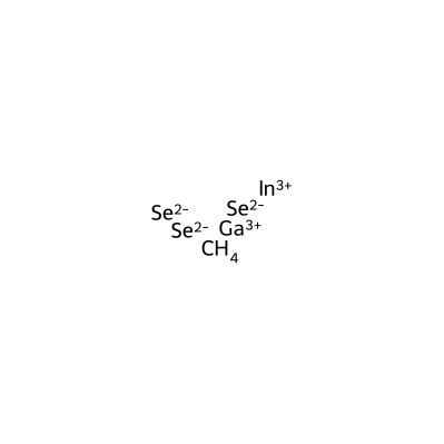 C.[Ga+3].[In+3].[Se-2].[Se-2].[Se-2]